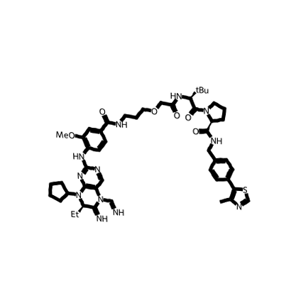 CC[C@@H]1C(=N)N(C=N)c2cnc(Nc3ccc(C(=O)NCCCOCC(=O)N[C@H](C(=O)N4CCC[C@H]4C(=O)NCc4ccc(-c5scnc5C)cc4)C(C)(C)C)cc3OC)nc2N1C1CCCC1